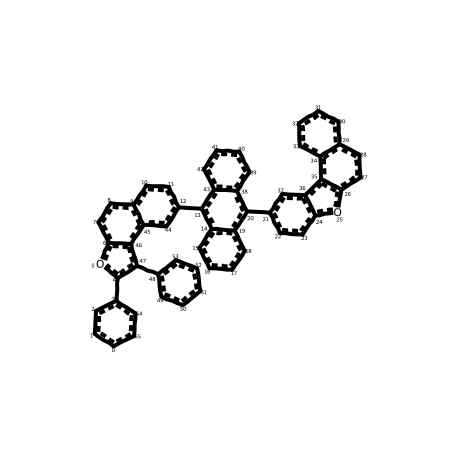 c1ccc(-c2oc3ccc4ccc(-c5c6ccccc6c(-c6ccc7oc8ccc9ccccc9c8c7c6)c6ccccc56)cc4c3c2-c2ccccc2)cc1